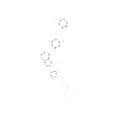 Fc1cccc(COc2ccc(Nc3ncnc4sc5c(c34)CCc3c-5cnn3CCCN3CCOCC3)cc2Cl)c1